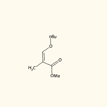 CCCCOC=C(C)C(=O)OC